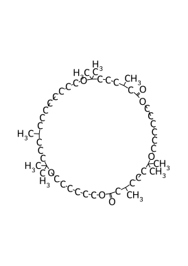 CC1CCCCCCCCOC(C)(C)CCCC(C)CC(=O)OCCCCCCOC(C)(C)CCCC(C)CC(=O)OCCCCCCOC(C)(C)CCC1